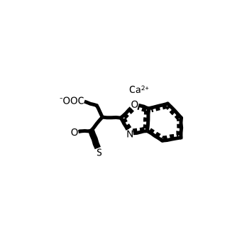 O=C([O-])CC(C([O-])=S)c1nc2ccccc2o1.[Ca+2]